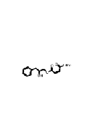 COC(=O)/C=C\C(=O)OCC(O)Cc1ccccc1